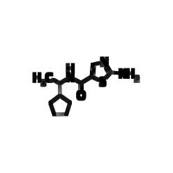 CC(NC(=O)c1cnc(N)s1)C1CCCC1